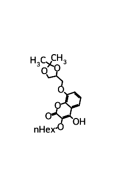 CCCCCCOc1c(O)c2cccc(OCC3COC(C)(C)O3)c2oc1=O